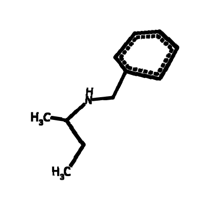 CCC(C)NCc1ccccc1